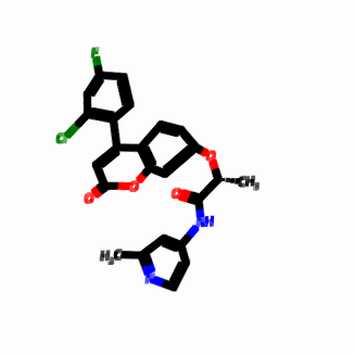 Cc1cc(NC(=O)[C@@H](C)Oc2ccc3c(-c4ccc(F)cc4Cl)cc(=O)oc3c2)ccn1